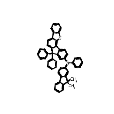 CC1(C)c2ccccc2-c2ccc(N(c3ccccc3)c3ccc4c(c3)C(c3ccccc3)(c3ccccc3)c3ccc5c(sc6ccccc65)c3-4)cc21